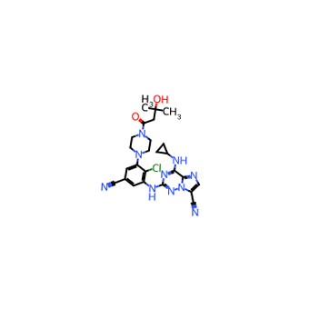 CC(C)(O)CC(=O)N1CCN(c2cc(C#N)cc(Nc3nc(NC4CC4)c4ncc(C#N)n4n3)c2Cl)CC1